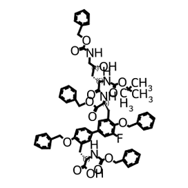 CC(C)(C)OC(=O)N[C@@H](C[C@@H](O)CNC(=O)OCc1ccccc1)C(=O)N[C@@H](Cc1cc(-c2ccc(OCc3ccccc3)c(C[C@H](NC(=O)OCc3ccccc3)C(=O)O)c2)cc(F)c1OCc1ccccc1)C(=O)OCc1ccccc1